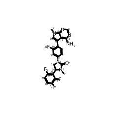 CN1C(=O)N(c2ccc(-c3cn(C)c4ncnc(N)c34)c(F)c2)CC1c1c(F)ccc(F)c1F